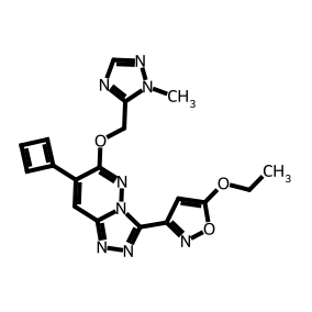 CCOc1cc(-c2nnc3cc(C4=CC=C4)c(OCc4ncnn4C)nn23)no1